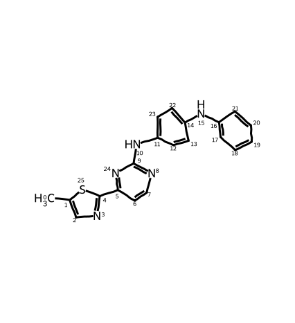 Cc1cnc(-c2ccnc(Nc3ccc(Nc4ccccc4)cc3)n2)s1